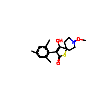 CON1CCC2(CC1)SC(=O)C(c1c(C)cc(C)cc1C)=C2O